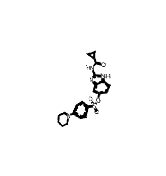 O=C(Nc1nc2cc(OS(=O)(=O)c3ccc(N4CCCCC4)cc3)ccc2[nH]1)C1CC1